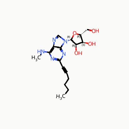 CCCCC#Cc1nc(NC)c2ncn([C@@H]3O[C@H](CO)[C@@H](O)[C@H]3O)c2n1